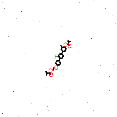 C=C(C)C(=O)OCCOc1ccc(-c2ccc(-c3ccc(OC(=O)C(=C)C)c(C)c3)cc2F)cc1